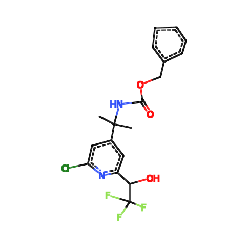 CC(C)(NC(=O)OCc1ccccc1)c1cc(Cl)nc(C(O)C(F)(F)F)c1